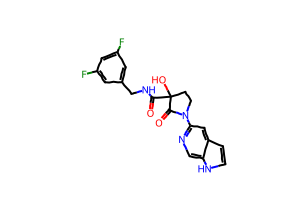 O=C(NCc1cc(F)cc(F)c1)C1(O)CCN(c2cc3cc[nH]c3cn2)C1=O